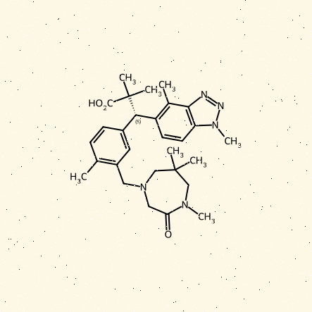 Cc1ccc([C@@H](c2ccc3c(nnn3C)c2C)C(C)(C)C(=O)O)cc1CN1CC(=O)N(C)CC(C)(C)C1